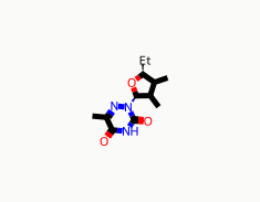 CC[C@H]1O[C@@H](n2nc(C)c(=O)[nH]c2=O)C(C)C1C